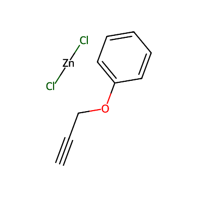 C#CCOc1ccccc1.[Cl][Zn][Cl]